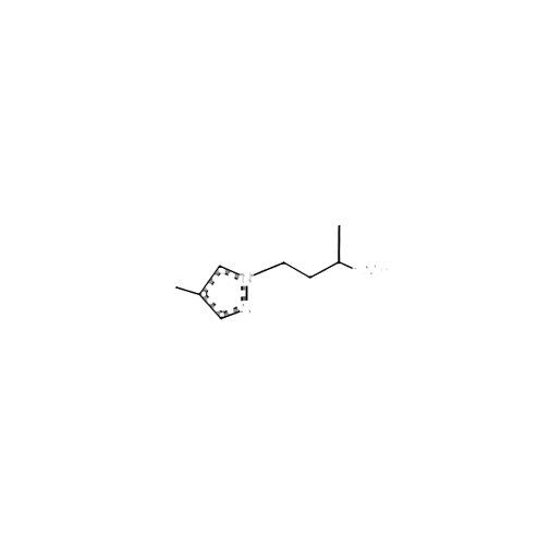 CSC(C)CCn1cc(C)cn1